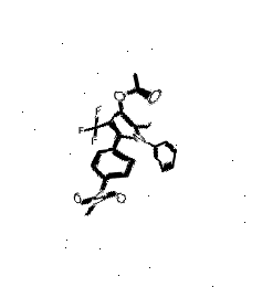 CC(=O)Oc1c(C(F)(F)F)c(-c2ccc(S(C)(=O)=O)cc2)n(-c2ccccc2)c1C